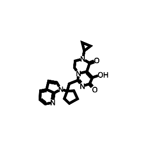 O=C1c2c(O)c(=O)nc(CC3(n4ccc5cccnc54)CCCC3)n2CCN1C1CC1